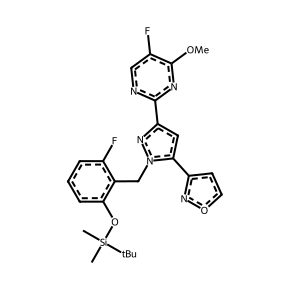 COc1nc(-c2cc(-c3ccon3)n(Cc3c(F)cccc3O[Si](C)(C)C(C)(C)C)n2)ncc1F